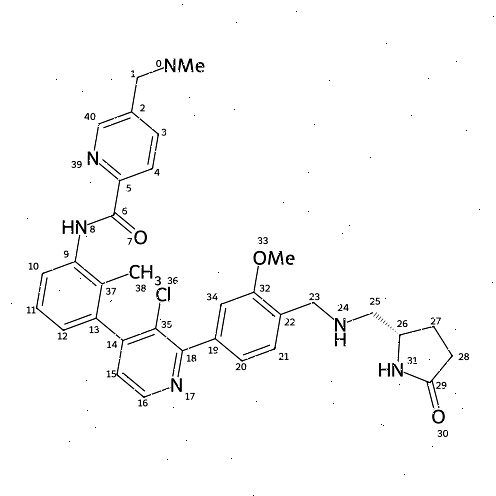 CNCc1ccc(C(=O)Nc2cccc(-c3ccnc(-c4ccc(CNC[C@@H]5CCC(=O)N5)c(OC)c4)c3Cl)c2C)nc1